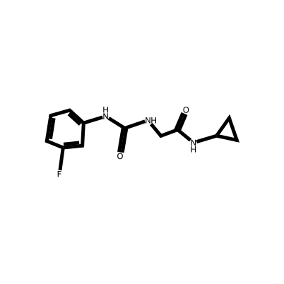 O=C(CNC(=O)Nc1cccc(F)c1)NC1CC1